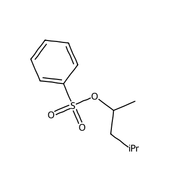 CC(C)CC(C)OS(=O)(=O)c1ccccc1